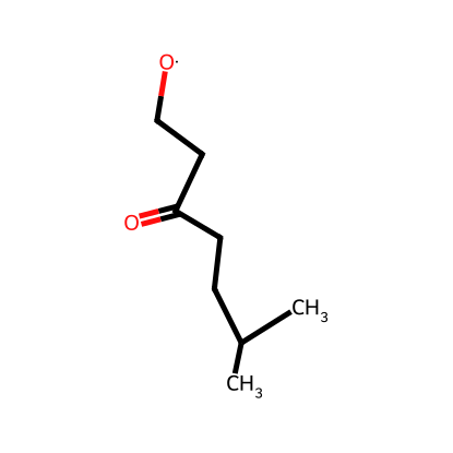 CC(C)CCC(=O)CC[O]